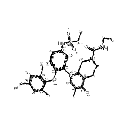 CCNC(=O)N1CCc2c(n(-c3cc(NS(=O)(=O)CC)ccc3Oc3c(C)cc(F)cc3C)cc(C)c2=O)C1